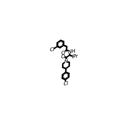 CC(C)C(NC(=O)Cc1cccc(Cl)c1)C(=O)N1CCC(c2ccc(Cl)cc2)CC1